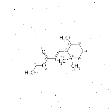 CCOC(=O)/C=C/C1C(C)CCCC1(C)C